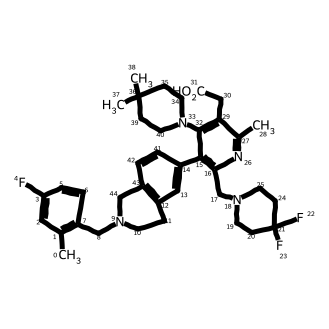 Cc1cc(F)ccc1CN1CCc2cc(-c3c(CN4CCC(F)(F)CC4)nc(C)c(CC(=O)O)c3N3CCC(C)(C)CC3)ccc2C1